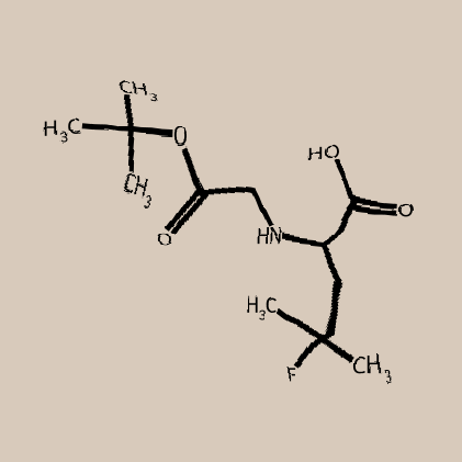 CC(C)(F)CC(NCC(=O)OC(C)(C)C)C(=O)O